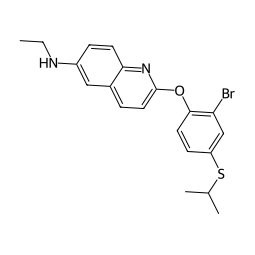 CCNc1ccc2nc(Oc3ccc(SC(C)C)cc3Br)ccc2c1